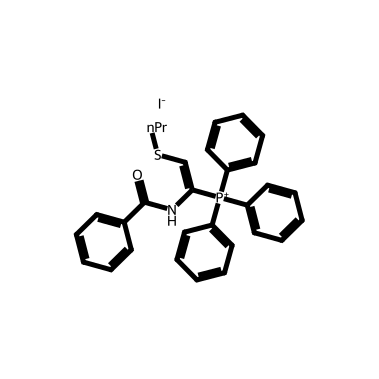 CCCSC=C(NC(=O)c1ccccc1)[P+](c1ccccc1)(c1ccccc1)c1ccccc1.[I-]